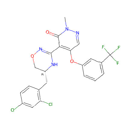 Cn1ncc(Oc2cccc(C(F)(F)F)c2)c(C2=NOC[C@@H](Cc3ccc(Cl)cc3Cl)N2)c1=O